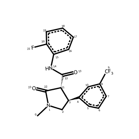 CN1C[C@H](c2cccc(C(F)(F)F)c2)[C@@H](C(=O)Nc2ccccc2F)C1=O